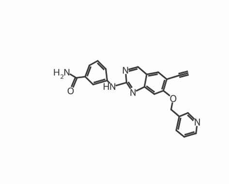 C#Cc1cc2cnc(Nc3cccc(C(N)=O)c3)nc2cc1OCc1cccnc1